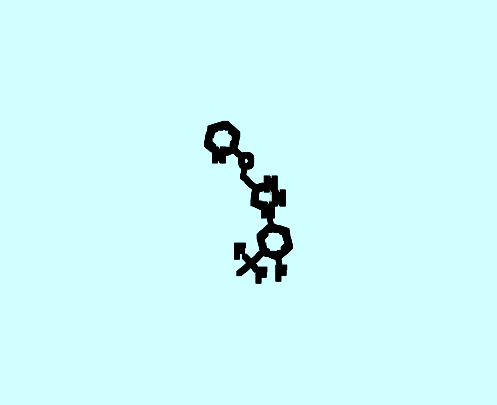 CC(F)(F)c1cc(-n2cc(COc3ccccn3)nn2)ccc1F